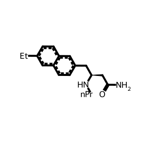 CCCN[C@H](CC(N)=O)Cc1ccc2cc(CC)ccc2c1